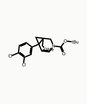 COCC12CN(C(=O)OC(C)(C)C)C=CC1(c1ccc(Cl)c(Cl)c1)C2